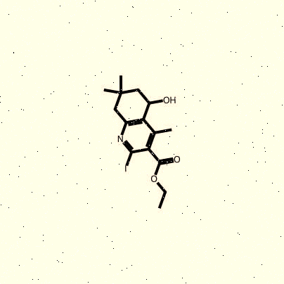 CCOC(=O)c1c(I)nc2c(c1C)C(O)CC(C)(C)C2